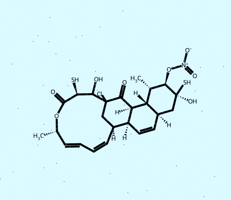 C[C@H]1[C@H]2[C@@H]3C(=O)C4(Cl)C[C@H](/C=C\C=C\[C@H](C)OC(=O)[C@@H](S)C4O)[C@@H]3C=C[C@@H]2C[C@](O)(S)[C@@H]1O[N+](=O)[O-]